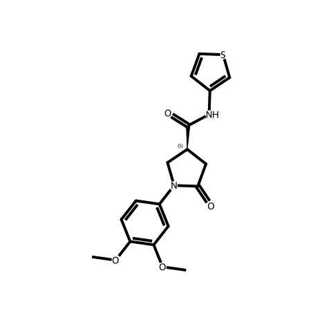 COc1ccc(N2C[C@@H](C(=O)Nc3ccsc3)CC2=O)cc1OC